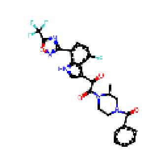 CC1CN(C(=O)c2ccccc2)CCN1C(=O)C(=O)c1c[nH]c2c(-c3noc(C(F)(F)F)n3)ccc(F)c12